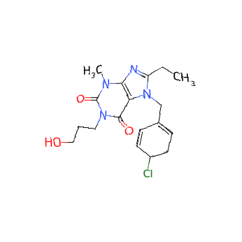 CCc1nc2c(c(=O)n(CCCO)c(=O)n2C)n1CC1=CCC(Cl)C=C1